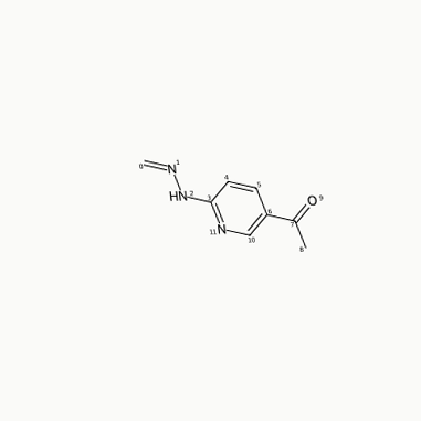 C=NNc1ccc(C(C)=O)cn1